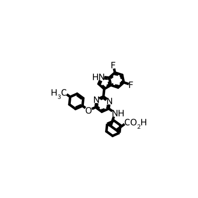 CC1C=CC(Oc2cc(NC3C4CCC(CC4)C3C(=O)O)nc(-c3c[nH]c4c(F)cc(F)cc34)n2)=CC1